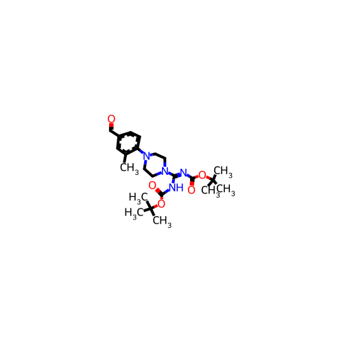 Cc1cc(C=O)ccc1N1CCN(C(=NC(=O)OC(C)(C)C)NC(=O)OC(C)(C)C)CC1